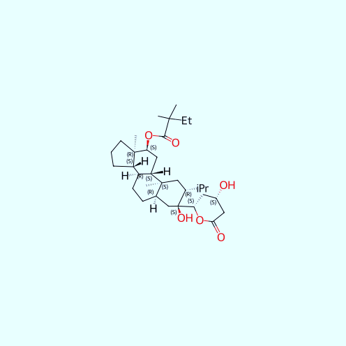 CCC(C)(C)C(=O)O[C@H]1C[C@H]2[C@@H](CC[C@@H]3C[C@@](O)([C@@H]4C[C@H](O)CC(=O)O4)[C@@H](C(C)C)C[C@@]32C)[C@@H]2CCC[C@@]12C